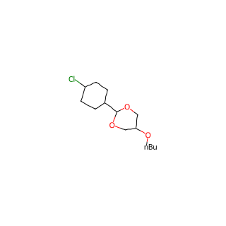 CCCCOC1COC(C2CCC(Cl)CC2)OC1